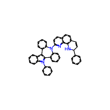 C1=CC(c2ccccc2)Nc2c1ccc1ccc(N3c4ccccc4-c4c(n(-c5ccccc5)c5ccccc45)-c4ccccc43)nc21